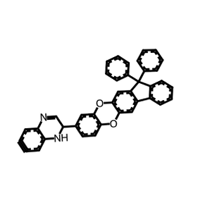 c1cc2c(cc#1)NC(c1ccc3c(c1)Oc1cc4c(cc1O3)-c1ccccc1C4(c1ccccc1)c1ccccc1)C=N2